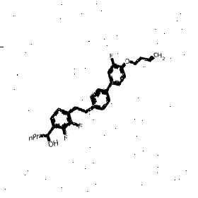 C=CCCOc1ccc(-c2ccc(CCc3ccc(C(O)CCC)c(F)c3F)cc2)cc1F